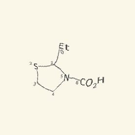 CCC1SCCN1C(=O)O